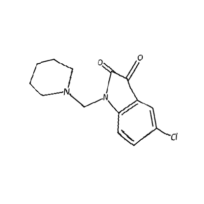 O=C1C(=O)N(CN2CCCCC2)c2ccc(Cl)cc21